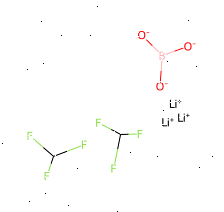 FC(F)F.FC(F)F.[Li+].[Li+].[Li+].[O-]B([O-])[O-]